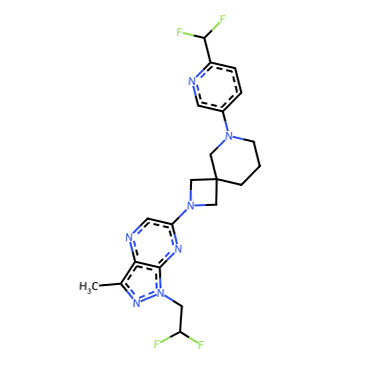 Cc1nn(CC(F)F)c2nc(N3CC4(CCCN(c5ccc(C(F)F)nc5)C4)C3)cnc12